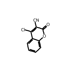 N#Cc1c(Cl)c2ccccc2oc1=O